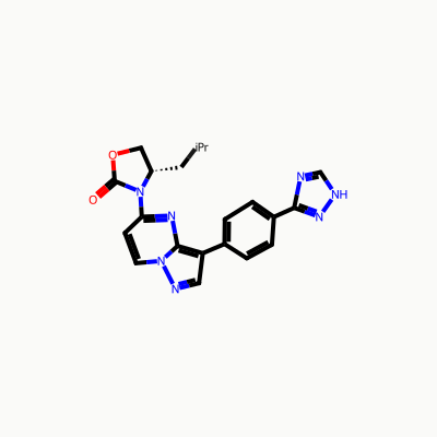 CC(C)C[C@H]1COC(=O)N1c1ccn2ncc(-c3ccc(-c4nc[nH]n4)cc3)c2n1